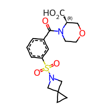 O=C(O)[C@H]1COCCN1C(=O)c1cccc(S(=O)(=O)N2CC3(CC3)C2)c1